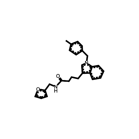 Cc1ccc(Cn2cc(CCCC(=O)NCc3ccco3)c3ccccc32)cc1